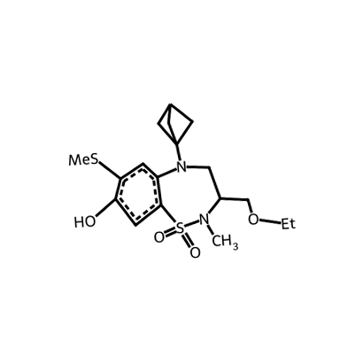 CCOCC1CN(C23CC(C2)C3)c2cc(SC)c(O)cc2S(=O)(=O)N1C